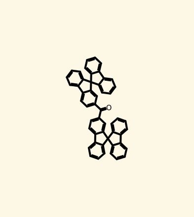 O=C(c1ccc2c(c1)C1(c3ccccc3-c3ccccc31)c1ccccc1-2)c1ccc2c(c1)C1(c3ccccc3-c3ccccc31)c1ccccc1-2